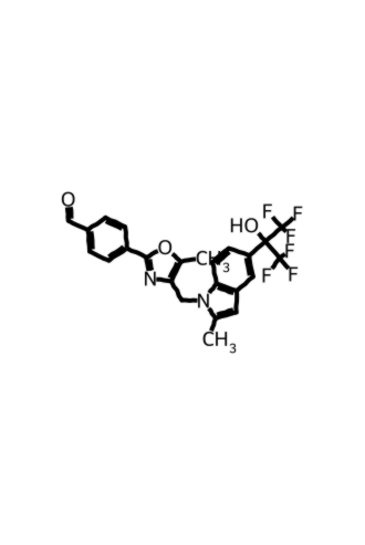 Cc1oc(-c2ccc(C=O)cc2)nc1Cn1c(C)cc2cc(C(O)(C(F)(F)F)C(F)(F)F)ccc21